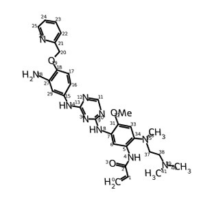 C=CC(=O)Nc1cc(Nc2ncnc(Nc3ccc(OCc4ccccn4)c(N)c3)n2)c(OC)cc1N(C)CCN(C)C